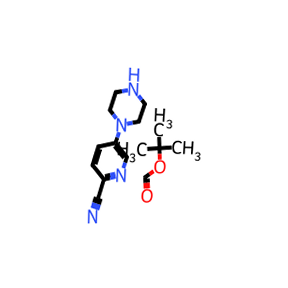 CC(C)(C)OC=O.N#Cc1ccc(N2CCNCC2)cn1